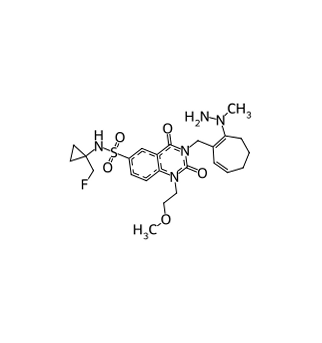 COCCn1c(=O)n(CC2=C(N(C)N)CCCC=C2)c(=O)c2cc(S(=O)(=O)NC3(CF)CC3)ccc21